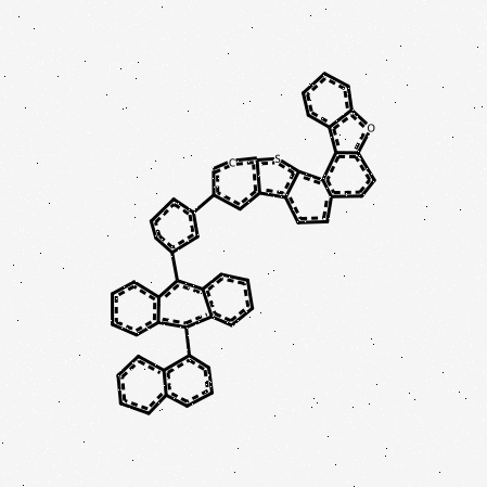 c1cc(-c2ccc3sc4c(ccc5ccc6oc7ccccc7c6c54)c3c2)cc(-c2c3ccccc3c(-c3cccc4ccccc34)c3ccccc23)c1